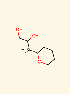 OCC(O)[SiH2]C1CCCCO1